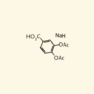 CC(=O)Oc1ccc(C(=O)O)cc1OC(C)=O.[NaH]